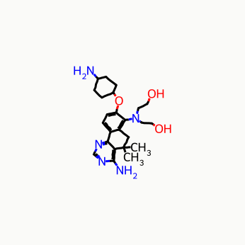 CC1(C)Cc2c(ccc(OC3CCC(N)CC3)c2N(CCO)CCO)-c2ncnc(N)c21